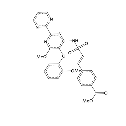 COC(=O)c1ccc(/C=C/S(=O)(=O)Nc2nc(-c3ncccn3)nc(OC)c2Oc2ccccc2OC)cc1